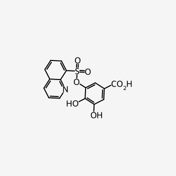 O=C(O)c1cc(O)c(O)c(OS(=O)(=O)c2cccc3cccnc23)c1